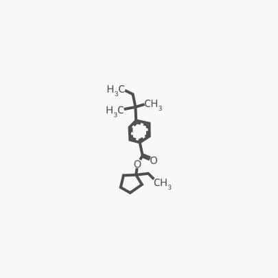 CCC1(OC(=O)c2ccc(C(C)(C)CC)cc2)CCCC1